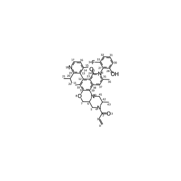 C=CC(=O)N1CC2COc3c(C)c(-c4c(C)ccnc4C(C)C)c4c(=O)n(-c5c(O)cccc5F)c(C)cc4c3N2CC1C